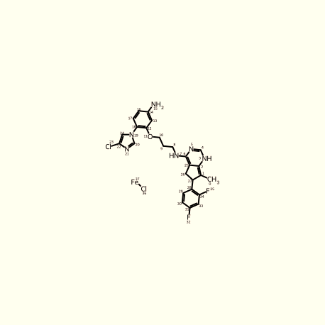 CC1=C2NC=NC(NCCCOc3cc(N)ccc3-n3cnc(Cl)c3)=C2CC1c1ccc(F)cc1F.[Cl][Fe]